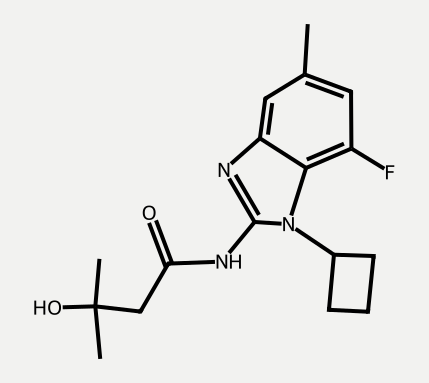 Cc1cc(F)c2c(c1)nc(NC(=O)CC(C)(C)O)n2C1CCC1